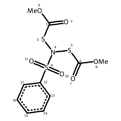 COC(=O)SN(SC(=O)OC)S(=O)(=O)c1ccccc1